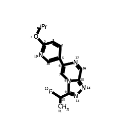 CC(C)Oc1ccc(-c2cn3c(C(C)F)nnc3cn2)cn1